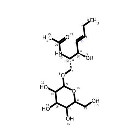 CC/C=C/[C@@H](O)[C@H](COC1OC(CO)C(O)C(O)C1O)NC(C)=O